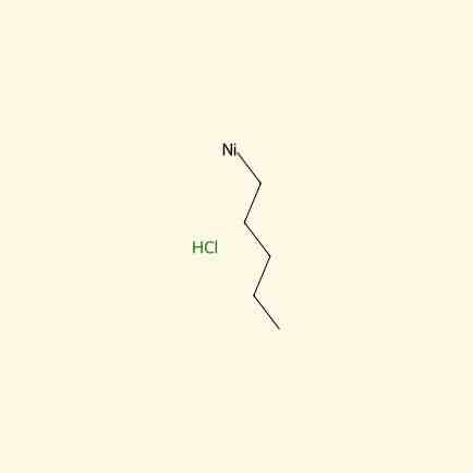 CCCC[CH2][Ni].Cl